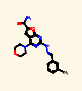 Cc1cccc(/C=N/Nc2nc(N3CCOCC3)c3cc(C(N)=O)oc3n2)c1